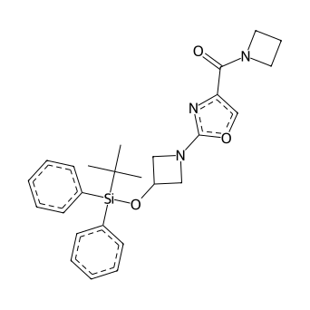 CC(C)(C)[Si](OC1CN(c2nc(C(=O)N3CCC3)co2)C1)(c1ccccc1)c1ccccc1